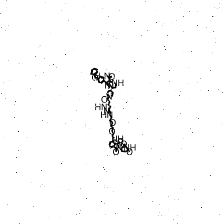 N=N/C(=C\NCCOCCOCCNc1cccc2c1C(=O)N(C1CCC(=O)NC1=O)C2=O)CCCC(=O)N1CCC([C@@H]2CCNc3c(C(N)=O)c(-c4ccc(Oc5ccccc5)cc4)nn32)CC1